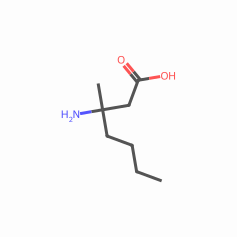 CCCCC(C)(N)CC(=O)O